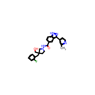 Cc1cc(-c2n[nH]c3ccc(C(=O)NN4CCC(CO)(Cc5ccccc5F)C4)cc23)ccn1